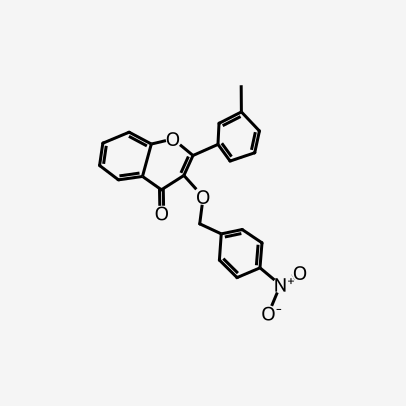 Cc1cccc(-c2oc3ccccc3c(=O)c2OCc2ccc([N+](=O)[O-])cc2)c1